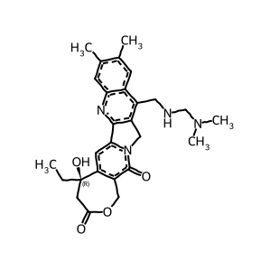 CC[C@@]1(O)CC(=O)OCc2c1cc1n(c2=O)Cc2c-1nc1cc(C)c(C)cc1c2CNCN(C)C